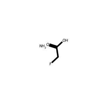 N.O=C(O)CF